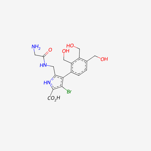 NCC(=O)NCc1[nH]c(C(=O)O)c(Br)c1-c1ccc(CO)c(CO)c1CO